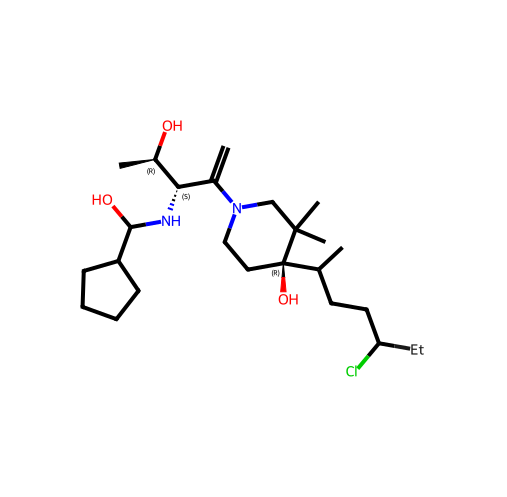 C=C([C@H](NC(O)C1CCCC1)[C@@H](C)O)N1CC[C@@](O)(C(C)CCC(Cl)CC)C(C)(C)C1